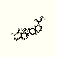 C=CC(=O)N1CCOC2(CCN(C(=O)N(C)[C@H](C(N)=O)C(C)C)CC2)C1